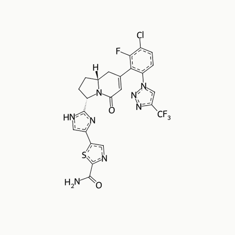 NC(=O)c1ncc(-c2c[nH]c([C@@H]3CC[C@@H]4CC(c5c(-n6cc(C(F)(F)F)nn6)ccc(Cl)c5F)=CC(=O)N43)n2)s1